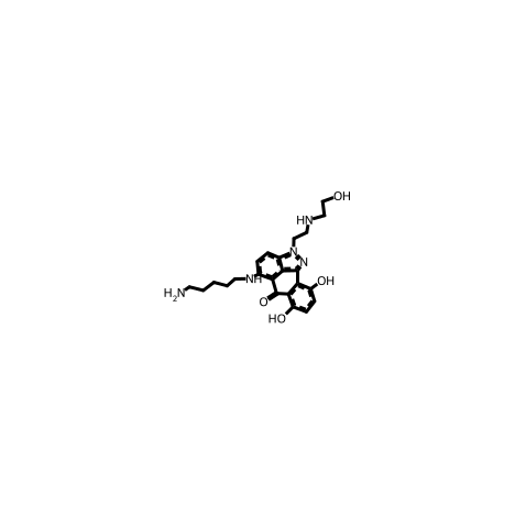 NCCCCCNc1ccc2c3c(nn2CCNCCO)-c2c(O)ccc(O)c2C(=O)c13